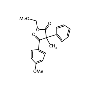 COCOC(=O)C(C)(C(=O)c1ccc(OC)cc1)c1ccccc1